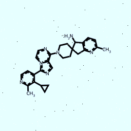 Cc1ccc2c(n1)CC1(CCN(c3nccn4c(-c5ccnc(C)c5C5CC5)ncc34)CC1)C2N